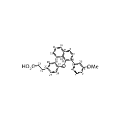 COc1cccc(-c2ccc3ccccc3c2Oc2ccc(CCC(=O)O)cc2)c1